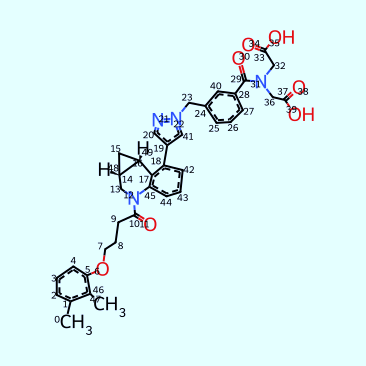 Cc1cccc(OCCCC(=O)N2C[C@@H]3C[C@@H]3c3c(-c4cnn(Cc5cccc(C(=O)N(CC(=O)O)CC(=O)O)c5)c4)cccc32)c1C